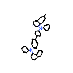 C=C1CC(C)C=C/C1=C(/C=C\C)N(c1ccccc1)c1ccc(-c2ccc(N(c3ccccc3)c3cccc4ccccc34)cc2)cc1